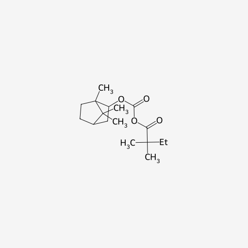 CCC(C)(C)C(=O)OC(=O)OC1CC2CCC1(C)C2(C)C